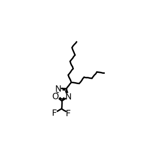 CCCCCCC(CCCCC)c1noc(C(F)F)n1